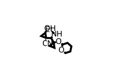 CCNC(C1(OC2CCCCO2)CC1)[C@@]1(C#N)CC1O